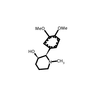 COc1ccc([C@@H]2[C@H](O)CCCN2C)cc1OC